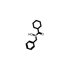 O=C(C1CCCCC1)N(O)Cc1ccccc1